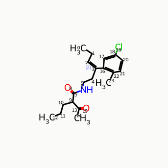 CC/C=C(/CCNC(=O)C(CCC)C(C)=O)c1cc(Cl)ccc1C